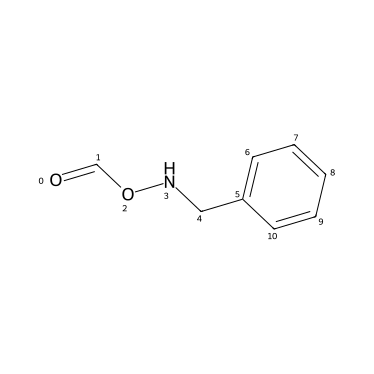 O=CONCc1ccccc1